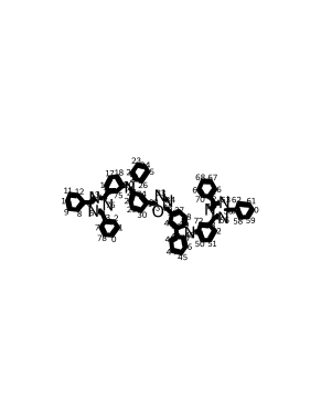 c1ccc(-c2nc(-c3ccccc3)nc(-c3cccc(N(c4ccccc4)c4cccc(-c5nnc(-c6ccc7c(c6)c6ccccc6n7-c6cccc(-c7nc(-c8ccccc8)nc(-c8ccccc8)n7)c6)o5)c4)c3)n2)cc1